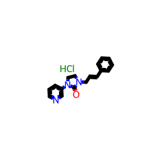 Cl.O=C1N(CC=Cc2ccccc2)CCN1c1cccnc1